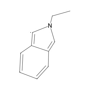 CCn1[c]c2ccccc2c1